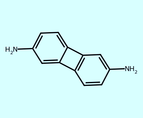 Nc1ccc2c(c1)-c1ccc(N)cc1-2